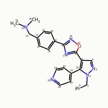 CC(C)Cn1ncc(-c2nc(-c3ccc(CN(C)C)cc3)no2)c1-c1ccncc1